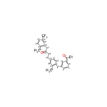 CCC(=O)c1cccc(Cc2ccc(CCC(=O)Cc3cc(C(F)(F)F)ccc3C)cc2C)c1